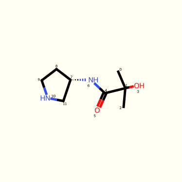 CC(C)(O)C(=O)N[C@H]1CCNC1